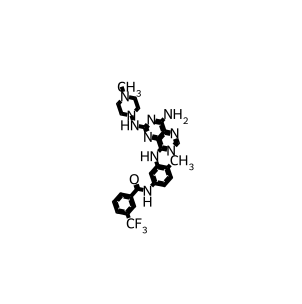 Cc1ccc(NC(=O)c2cccc(C(F)(F)F)c2)cc1Nc1ncnc2c(N)nc(NN3CCN(C)CC3)nc12